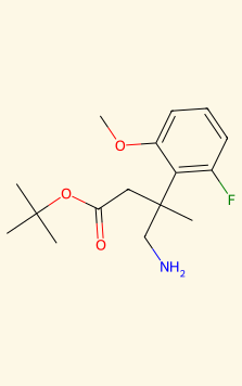 COc1cccc(F)c1C(C)(CN)CC(=O)OC(C)(C)C